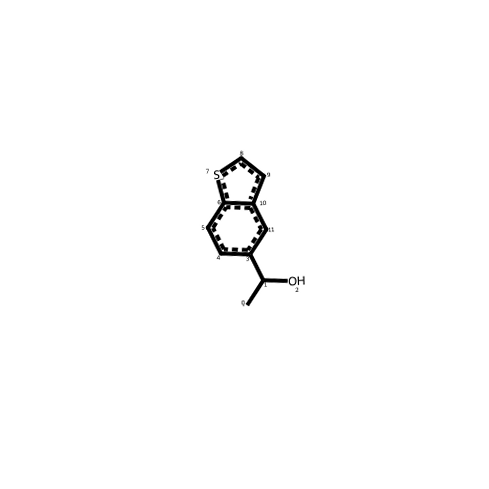 [CH2]C(O)c1ccc2sccc2c1